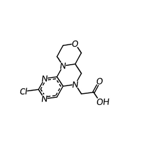 O=C(O)CN1CC2COCCN2c2nc(Cl)ncc21